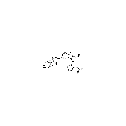 FC(F)Oc1ccccc1[C@H]1C[C@@H](F)c2nc3ccc(-c4cnc(N5C6COCC5COC6)nc4)cc3n21